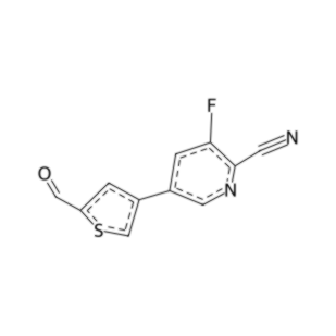 N#Cc1ncc(-c2csc(C=O)c2)cc1F